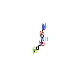 FC(F)(F)Sc1ccc(C=Cc2nc(CNc3ccc(OCCCn4ccnn4)cc3)co2)cc1